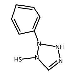 SN1C=NNN1c1ccccc1